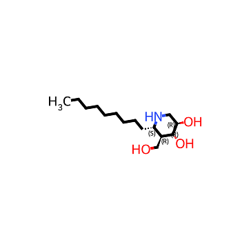 CCCCCCCCC[C@@H]1NC[C@@H](O)[C@H](O)[C@H]1CO